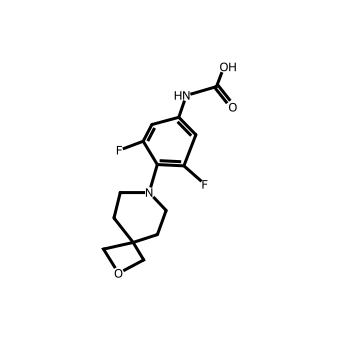 O=C(O)Nc1cc(F)c(N2CCC3(CC2)COC3)c(F)c1